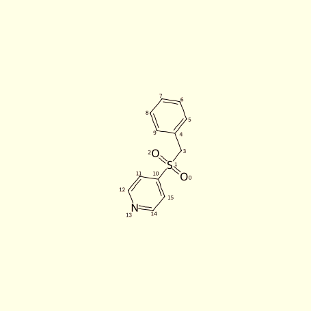 O=S(=O)(Cc1ccccc1)c1ccncc1